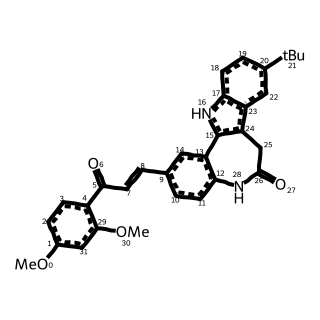 COc1ccc(C(=O)/C=C/c2ccc3c(c2)-c2[nH]c4ccc(C(C)(C)C)cc4c2CC(=O)N3)c(OC)c1